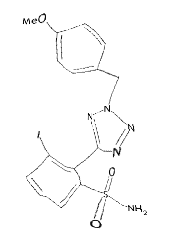 COc1ccc(Cn2nnc(-c3c(I)cccc3S(N)(=O)=O)n2)cc1